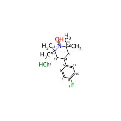 CC1(C)CC(c2ccc(F)cc2)CC(C)(C)N1O.Cl